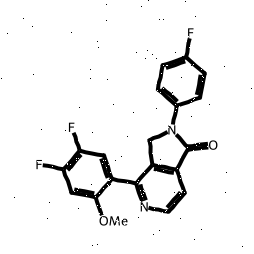 COc1cc(F)c(F)cc1-c1nccc2c1CN(c1ccc(F)cc1)C2=O